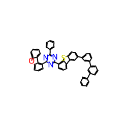 c1ccc(-c2cccc(-c3cccc(-c4ccc5sc6c(-c7nc(-c8ccccc8)nc(-c8cccc9oc%10ccccc%10c89)n7)cccc6c5c4)c3)c2)cc1